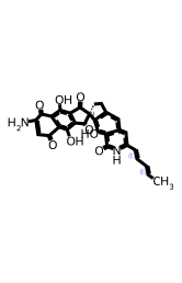 C/C=C/C=C/c1cc2cc3c(c(O)c2c(=O)[nH]1)[C@@]1(CC3)C(=O)c2c(O)c3c(c(O)c2C1=O)C(=O)C(N)=CC3=O